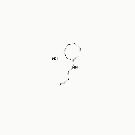 Cl.ClCCNC1CCCCCC1